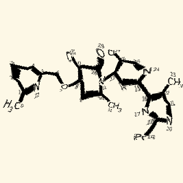 Cc1cccc(COc2cc(C)n(-c3cc(-c4nc(C(C)C)ncc4C)ncc3Cl)c(=O)c2Cl)n1